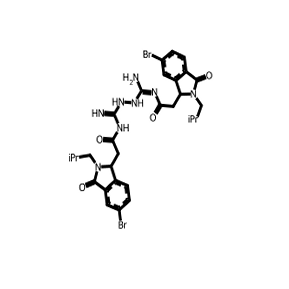 CC(C)CN1C(=O)c2ccc(Br)cc2C1CC(=O)N=C(N)NNC(=N)NC(=O)CC1c2ccc(Br)cc2C(=O)N1CC(C)C